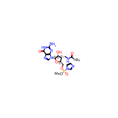 CCCCC(=O)NC[C@H]1[C@@H](O)[C@H](n2cnc3c(=O)[nH]c(N)nc32)O[C@@H]1COP(=O)(OC)n1ccnc1